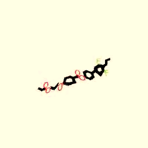 C=CC(=O)OCCCOC1CCC(C(=O)OC2CCC(c3cc(F)c(CCC)c(F)c3)CC2)CC1